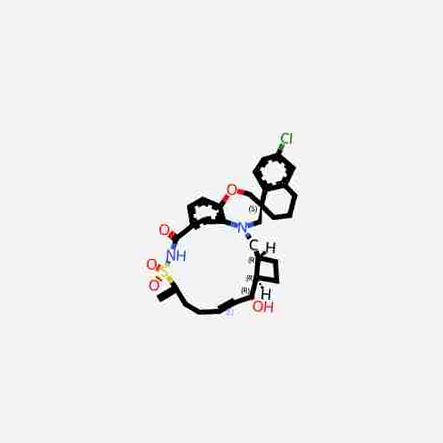 C=C1CC/C=C/[C@H](O)[C@@H]2CC[C@H]2CN2C[C@@]3(CCCc4cc(Cl)ccc43)COc3ccc(cc32)C(=O)NS1(=O)=O